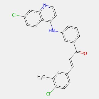 Cc1cc(/C=C/C(=O)c2cccc(Nc3ccnc4cc(Cl)ccc34)c2)ccc1Cl